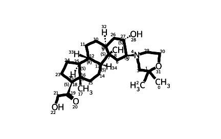 CC1(C)CN([C@H]2C[C@@]3(C)[C@@H](CC[C@@H]4[C@@H]3CC[C@]3(C)[C@@H](C(=O)CO)CC[C@@H]43)C[C@@H]2O)CCO1